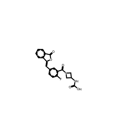 O=C(O)NC1CN(C(=O)c2cc(/C=C3\OC(=O)c4ccccc43)ccc2F)C1